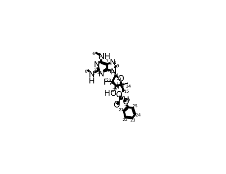 CNc1nc(NC)c2ncn([C@@H]3O[C@](C)(CO[PH](=O)Oc4ccccc4)[C@@H](O)[C@H]3F)c2n1